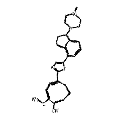 CC(C)OC1=C/C=C(/c2ncc(-c3cccc4c3CCC4N3CCN(C)CC3)s2)CC/C=C\1C#N